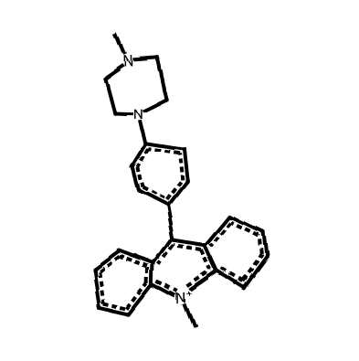 CN1CCN(c2ccc(-c3c4ccccc4[n+](C)c4ccccc34)cc2)CC1